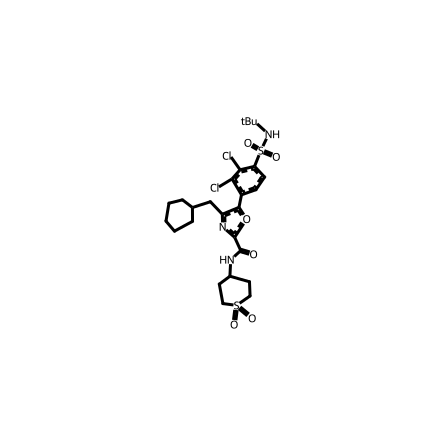 CC(C)(C)NS(=O)(=O)c1ccc(-c2oc(C(=O)NC3CCS(=O)(=O)CC3)nc2CC2CCCCC2)c(Cl)c1Cl